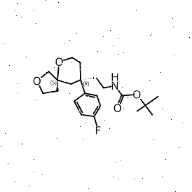 CC(C)(C)OC(=O)NCC[C@@]1(c2ccc(F)cc2)CCO[C@]2(CCOC2)C1